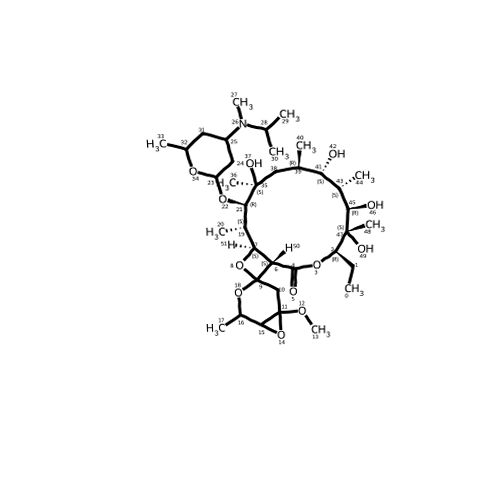 CC[C@H]1OC(=O)[C@H]2[C@@H](OC23CC2(OC)OC2C(C)O3)[C@H](C)[C@@H](OC2CC(N(C)C(C)C)CC(C)O2)[C@@](C)(O)C[C@@H](C)[C@H](O)[C@H](C)[C@@H](O)[C@]1(C)O